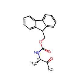 C[C@@H](NC(=O)OCC1c2ccccc2-c2ccccc21)C(=O)N=O